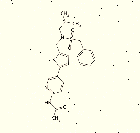 CC(=O)Nc1ccc(-c2ccc(CN(CC(C)C)S(=O)(=O)Cc3ccccc3)s2)cn1